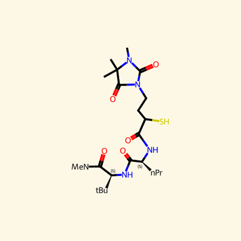 CCC[C@H](NC(=O)C(S)CCN1C(=O)N(C)C(C)(C)C1=O)C(=O)N[C@H](C(=O)NC)C(C)(C)C